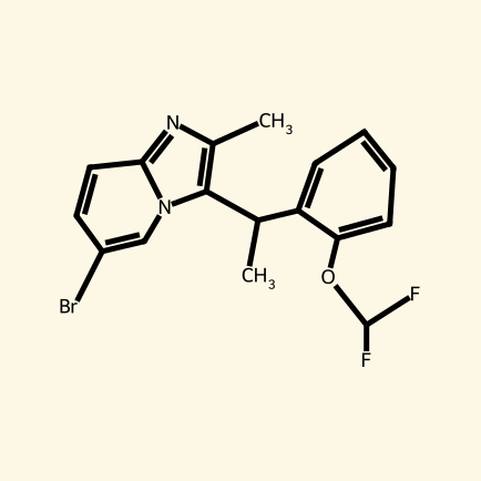 Cc1nc2ccc(Br)cn2c1C(C)c1ccccc1OC(F)F